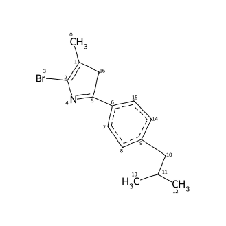 CC1=C(Br)N=C(c2ccc(CC(C)C)cc2)C1